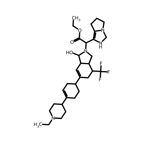 CCOC(=O)C(C1=C2CCCN2CN1)N1CC2C(C=C(C3CC=C(C4CCN(CC)CC4)CC3)CC2C(F)(F)F)C1O